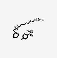 CCCCCCCCCCCCCCCCCC[N+](C)(C)Cc1ccccc1.Cc1ccc(S(=O)(=O)[O-])cc1